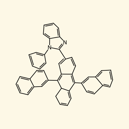 C1=CCC2C(=C1)C(c1ccc3ccccc3c1)=c1ccc(-c3nc4ccccc4n3-c3ccccc3)cc1=C2c1ccc2ccccc2c1